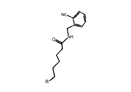 N#Cc1ccccc1CNC(=O)CCCCCBr